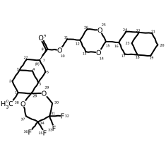 CC1CC2CC(C[C@H](C(=O)OCC3COC(C4CC5CCCC(C5)C4)OC3)C2)C12OCC(F)(F)C(F)(F)CO2